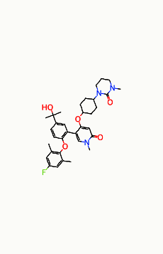 Cc1cc(F)cc(C)c1Oc1ccc(C(C)(C)O)cc1-c1cn(C)c(=O)cc1OC1CCC(N2CCCN(C)C2=O)CC1